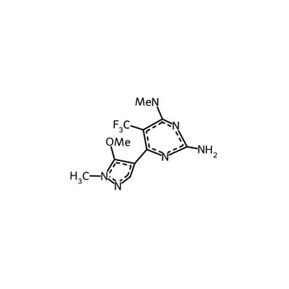 CNc1nc(N)nc(-c2cnn(C)c2OC)c1C(F)(F)F